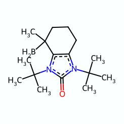 BC1(C)CCCc2c1n(C(C)(C)C)c(=O)n2C(C)(C)C